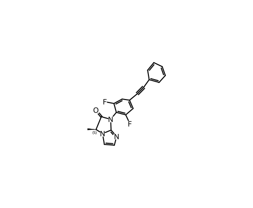 C[C@H]1C(=O)N(c2c(F)cc(C#Cc3ccccc3)cc2F)c2nccn21